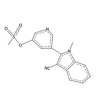 Cn1c(-c2cncc(OS(C)(=O)=O)c2)c(C#N)c2ccccc21